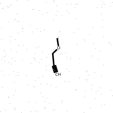 [C]OCC#C